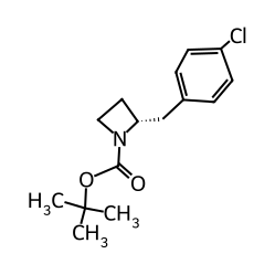 CC(C)(C)OC(=O)N1CC[C@@H]1Cc1ccc(Cl)cc1